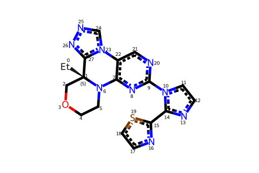 CC[C@]12COCCN1c1nc(-n3ccnc3-c3nccs3)ncc1-n1cnnc12